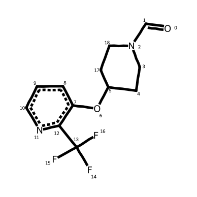 O=CN1CCC(Oc2cccnc2C(F)(F)F)CC1